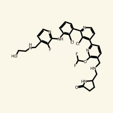 O=C1CCC(CNCc2ccc(-c3ccnc(-c4cccc(Nc5nccc(CNCCO)c5F)c4Cl)c3Cl)nc2OC(F)F)N1